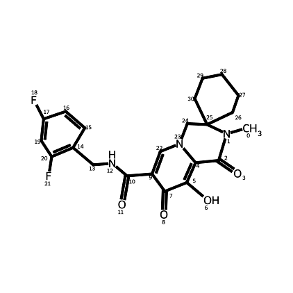 CN1C(=O)c2c(O)c(=O)c(C(=O)NCc3ccc(F)cc3F)cn2CC12CCCCC2